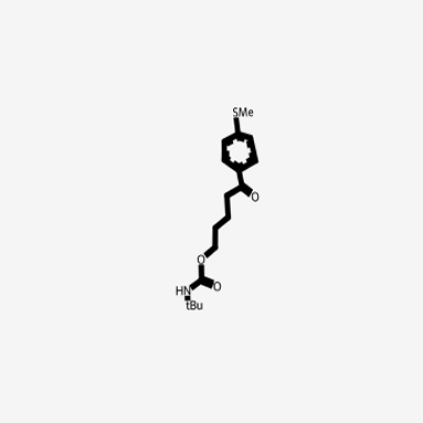 CSc1ccc(C(=O)CCCCOC(=O)NC(C)(C)C)cc1